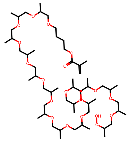 C=C(C)C(=O)OCCCCOCC(C)OCC(C)OCC(C)OCC(C)OCC(C)OCC(C)OCC(C)OCC(C)OCC(C)OCC(C)OCC(C)OCC(C)OCC(C)OCC(C)OCC(C)OCC(C)OO